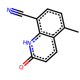 Cc1ccc(C#N)c2[nH]c(=O)ccc12